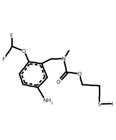 CN(Cc1cc(N)ccc1OC(F)F)C(=O)OCCSI